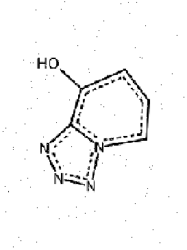 Oc1cccn2nnnc12